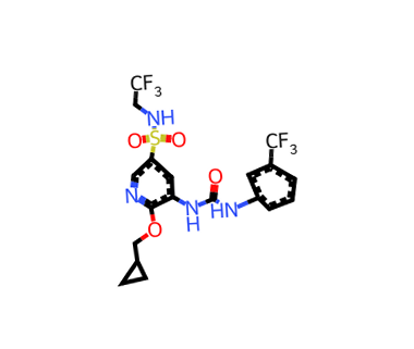 O=C(Nc1cccc(C(F)(F)F)c1)Nc1cc(S(=O)(=O)NCC(F)(F)F)cnc1OCC1CC1